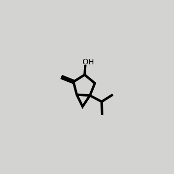 C=C1C(O)CC2(C(C)C)CC12